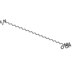 NCCCCCCCCCCCCCCCCCCCCCCCCCCCCCCCCCCC(=O)NO